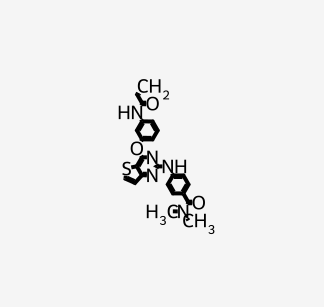 C=CC(=O)Nc1cccc(Oc2nc(Nc3ccc(C(=O)N(C)C)cc3)nc3ccsc23)c1